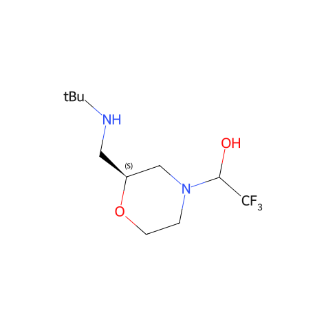 CC(C)(C)NC[C@H]1CN(C(O)C(F)(F)F)CCO1